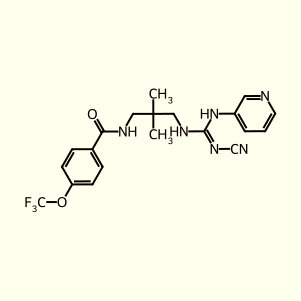 CC(C)(CNC(=O)c1ccc(OC(F)(F)F)cc1)CNC(=NC#N)Nc1cccnc1